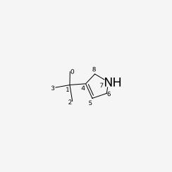 CC(C)(C)C1=CCNC1